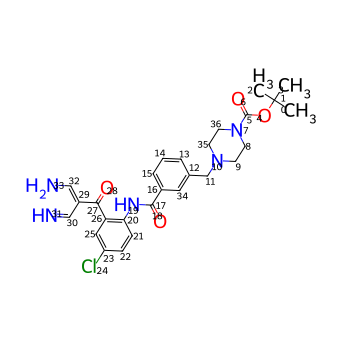 CC(C)(C)OC(=O)N1CCN(Cc2cccc(C(=O)Nc3ccc(Cl)cc3C(=O)/C(C=N)=C/N)c2)CC1